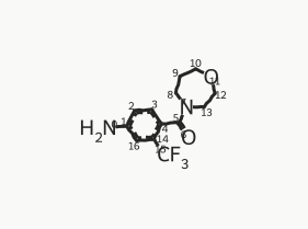 Nc1ccc(C(=O)N2CCCOCC2)c(C(F)(F)F)c1